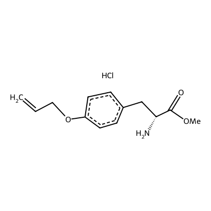 C=CCOc1ccc(C[C@@H](N)C(=O)OC)cc1.Cl